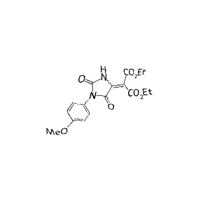 CCOC(=O)C(C(=O)OCC)=C1NC(=O)N(c2ccc(OC)cc2)C1=O